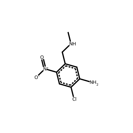 CNCc1cc(N)c(Cl)cc1[N+](=O)[O-]